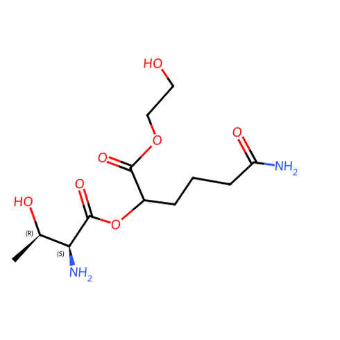 C[C@@H](O)[C@H](N)C(=O)OC(CCCC(N)=O)C(=O)OCCO